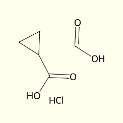 Cl.O=C(O)C1CC1.O=CO